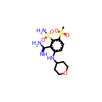 CS(=O)(=O)c1ccc(NC2CCOCC2)c(C(=N)N)c1S(N)(=O)=O